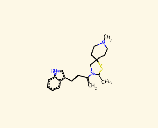 C=C(CCc1c[nH]c2ccccc12)N1CC2(CCN(C)CC2)SC1C